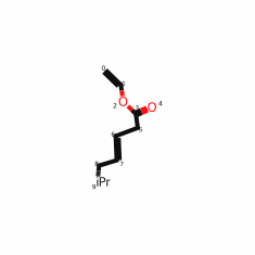 C=COC(=O)CC=CCC(C)C